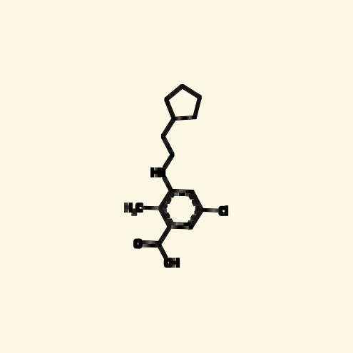 Cc1c(NCCC2CCCC2)cc(Cl)cc1C(=O)O